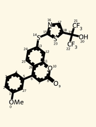 COc1cccc(-c2cc(=O)oc3cc(Sc4ncc(C(O)(C(F)(F)F)C(F)(F)F)s4)ccc23)c1